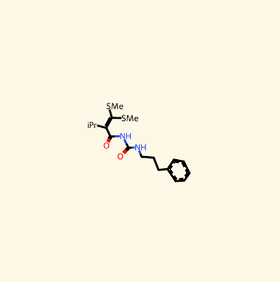 CSC(SC)=C(C(=O)NC(=O)NCCCc1ccccc1)C(C)C